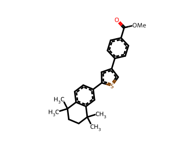 COC(=O)c1ccc(-c2csc(-c3ccc4c(c3)C(C)(C)CCC4(C)C)c2)cc1